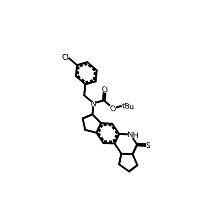 CC(C)(C)OC(=O)N(Cc1cccc(Cl)c1)C1CCc2cc3c(cc21)NC(=S)C1CCCC31